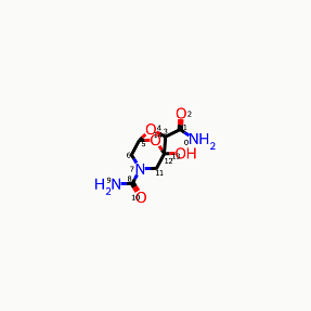 NC(=O)C1OC2CN(C(N)=O)CC1(O)O2